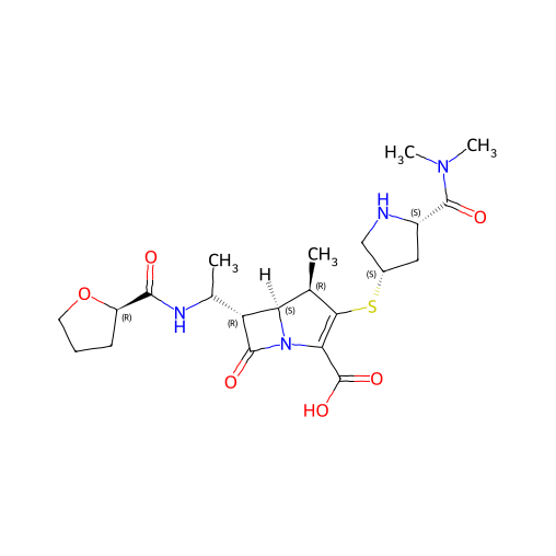 CC(NC(=O)[C@H]1CCCO1)[C@H]1C(=O)N2C(C(=O)O)=C(S[C@@H]3CN[C@H](C(=O)N(C)C)C3)[C@H](C)[C@H]12